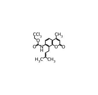 CC(C)=CCc1c(NC(=O)OCC(Cl)(Cl)Cl)ccc2c(C)cc(=O)oc12